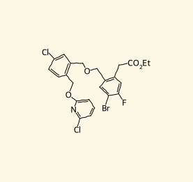 CCOC(=O)Cc1cc(F)c(Br)cc1COCc1cc(Cl)ccc1COc1cccc(Cl)n1